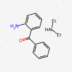 C[CH2][AlH][CH2]C.Nc1ccccc1C(=O)c1ccccc1